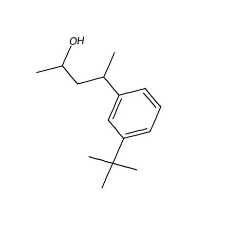 CC(O)CC(C)c1cccc(C(C)(C)C)c1